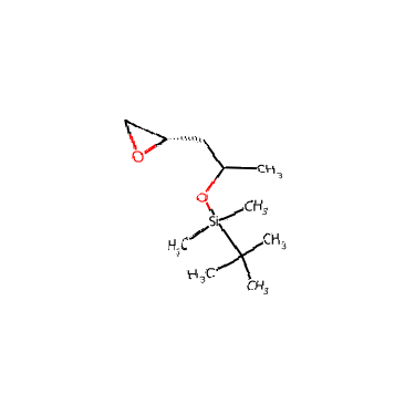 CC(C[C@H]1CO1)O[Si](C)(C)C(C)(C)C